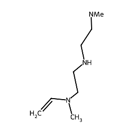 C=CN(C)CCNCCNC